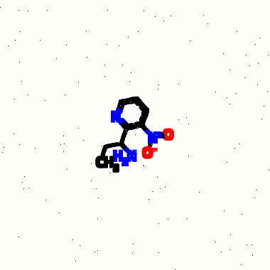 CCC(N)c1ncccc1[N+](=O)[O-]